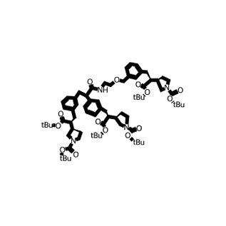 CC(C)(C)OC(=O)[C@@H](Cc1cccc(COCCNC(=O)C(Cc2cccc(C[C@H](C(=O)OC(C)(C)C)[C@H]3CCN(C(=O)OC(C)(C)C)C3)c2)c2cccc(C[C@H](C(=O)OC(C)(C)C)[C@H]3CCN(C(=O)OC(C)(C)C)C3)c2)c1)[C@H]1CCN(C(=O)OC(C)(C)C)C1